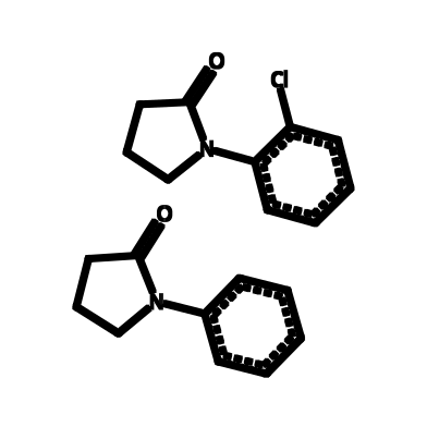 O=C1CCCN1c1ccccc1.O=C1CCCN1c1ccccc1Cl